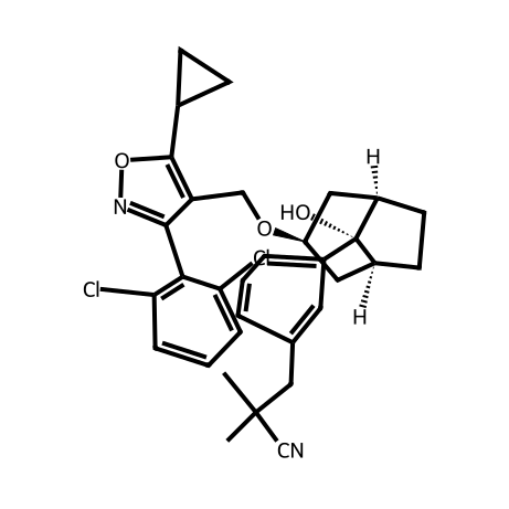 CC(C)(C#N)Cc1cccc([C@@]2(O)[C@@H]3CC[C@H]2C[C@@H](OCc2c(-c4c(Cl)cccc4Cl)noc2C2CC2)C3)c1